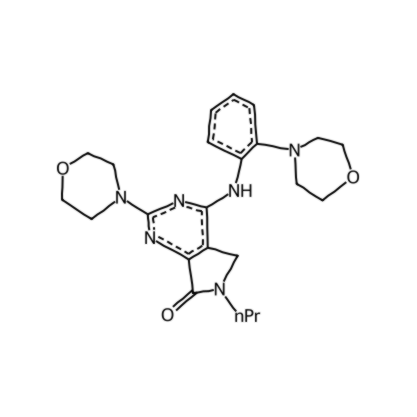 CCCN1Cc2c(Nc3ccccc3N3CCOCC3)nc(N3CCOCC3)nc2C1=O